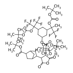 CCC(C)(C(=O)OC1CC(C(C)(OC(=O)OC(C)(C)C)C(F)(F)F)CC(C(OC(=O)OC(C)(C)C)(C(F)(F)F)C(F)(F)F)C1)C1C(=O)OC(=O)C1C1C2CC(C(=O)OC(C)(C)C)C(C2)C1CC(C)(C)C(=O)OC(C)(C)C